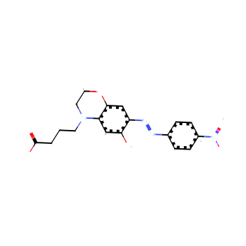 O=C(O)CCCN1CCOc2cc(N=Nc3ccc([N+](=O)[O-])cc3)c(O)cc21